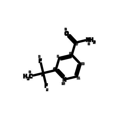 CC(F)(F)c1cc(C(N)=O)ccn1